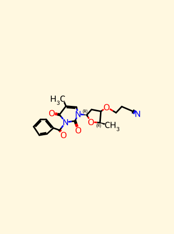 Cc1cn([C@H]2CC(OCCC#N)[C@@H](C)O2)c(=O)n(C(=O)c2ccccc2)c1=O